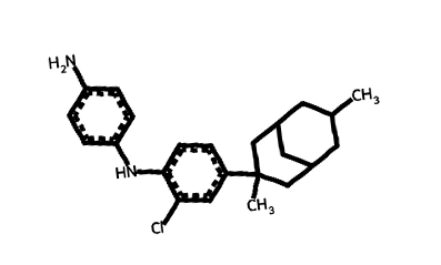 CC1CC2CC(C1)CC(C)(c1ccc(Nc3ccc(N)cc3)c(Cl)c1)C2